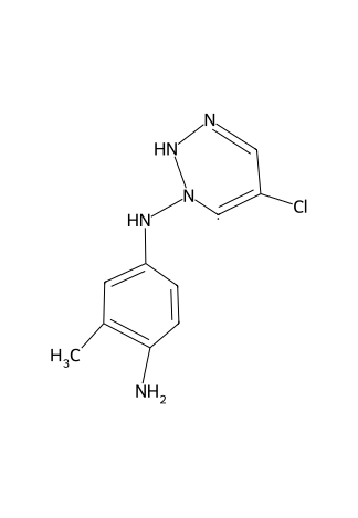 Cc1cc(NN2[C]=C(Cl)C=NN2)ccc1N